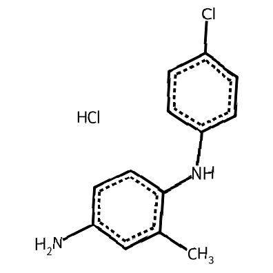 Cc1cc(N)ccc1Nc1ccc(Cl)cc1.Cl